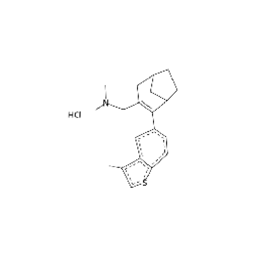 Cc1csc2ccc(C3=C(CN(C)C)CC4CCC3C4)cc12.Cl